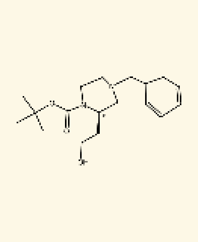 CC(C)(C)OC(=O)N1CCN(CC2C=CC=CC2)C[C@H]1CCO